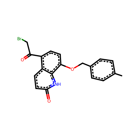 Cc1ccc(COc2ccc(C(=O)CBr)c3ccc(=O)[nH]c23)cc1